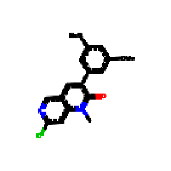 COc1cc(OC)cc(-c2cc3cnc(Cl)cc3n(C)c2=O)c1